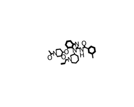 C=CC(=O)N1CCCCC(n2c(NC(=O)c3cccc(C)c3)nc3cccc(OC4CCN(C(C)=O)CC4)c32)C1